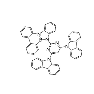 c1ccc2c(c1)B1N(c3nc(-n4c5ccccc5c5ccccc54)cc(-n4c5ccccc5c5ccccc54)n3)c3ccccc3N1c1ccccc1-2